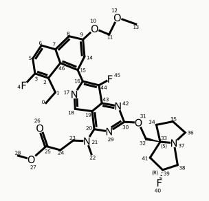 CCc1c(F)ccc2cc(OCOC)cc(-c3ncc4c(N(C)CCC(=O)OC)nc(OC[C@@]56CCCN5C[C@H](F)C6)nc4c3F)c12